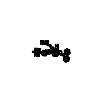 Cc1nnc(-c2ccc(CNC(=O)[C@H](CCCCN=[N+]=[N-])NC(=O)OCC3c4ccccc4-c4ccccc43)cc2)nn1